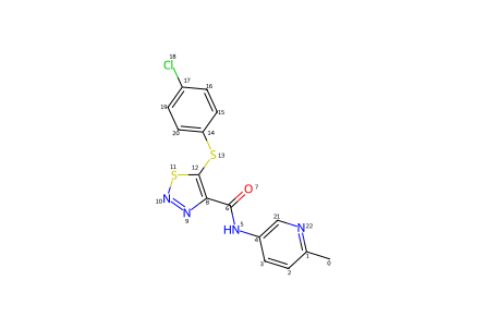 Cc1ccc(NC(=O)c2nnsc2Sc2ccc(Cl)cc2)cn1